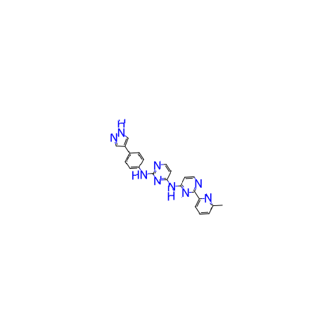 Cc1cccc(-c2nccc(Nc3ccnc(Nc4ccc(-c5cn[nH]c5)cc4)n3)n2)n1